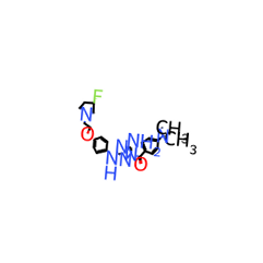 CN(C)c1ccc(C(=O)n2nc(Nc3ccc(OCCN4CC[C@H](F)C4)cc3)nc2N)cc1